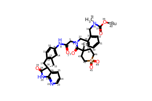 CCC1(C(=O)N(CC(=O)Nc2ccc3c(c2)C[C@@]2(C3)C(=O)Nc3ncccc32)Cc2ccccc2CN(C)C(=O)OC(C)(C)C)CCS(=O)(=O)CC1